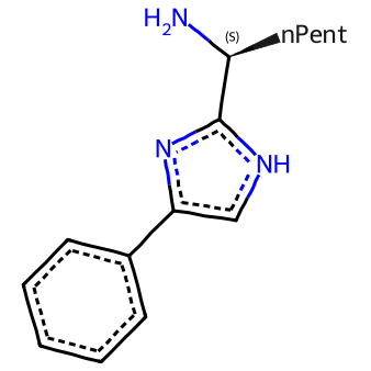 CCCCC[C@H](N)c1nc(-c2ccccc2)c[nH]1